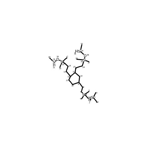 C[SiH](C)O[Si](C)(C)CCC1CCC(CC[Si](C)(C)O[SiH](C)C)C(CC[Si](C)(C)O[SiH](C)C)C1